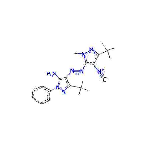 [C-]#[N+]c1c(C(C)(C)C)nn(C)c1/N=N/c1c(C(C)(C)C)nn(-c2ccccc2)c1N